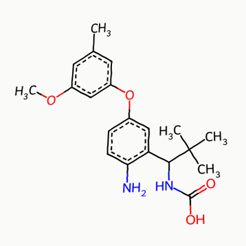 COc1cc(C)cc(Oc2ccc(N)c(C(NC(=O)O)C(C)(C)C)c2)c1